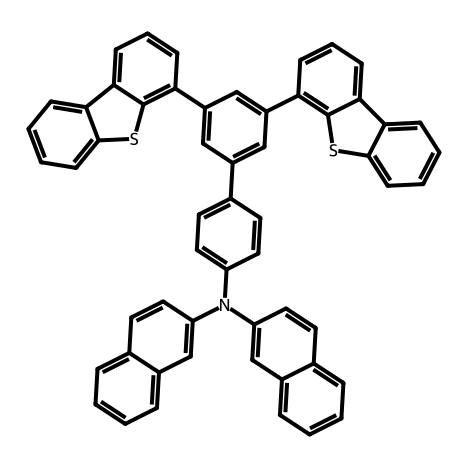 c1ccc2cc(N(c3ccc(-c4cc(-c5cccc6c5sc5ccccc56)cc(-c5cccc6c5sc5ccccc56)c4)cc3)c3ccc4ccccc4c3)ccc2c1